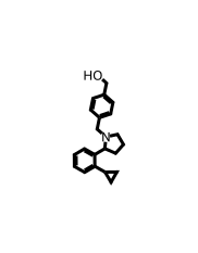 OCc1ccc(CN2CCCC2c2ccccc2C2CC2)cc1